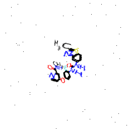 CNC(=O)c1cc(Oc2ccc(NC(=O)Nc3ccc4sc(C)nc4c3)c(F)c2)ccn1